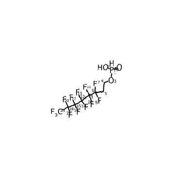 O=[PH](O)OCCC(F)(F)C(F)(F)C(F)(F)C(F)(F)C(F)(F)C(F)(F)F